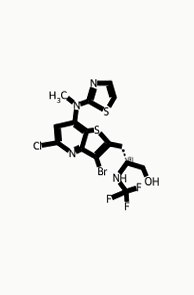 CN(c1nccs1)c1cc(Cl)nc2c(Br)c(C[C@H](CO)NC(F)(F)F)sc12